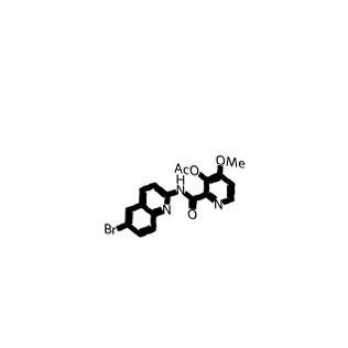 COc1ccnc(C(=O)Nc2ccc3cc(Br)ccc3n2)c1OC(C)=O